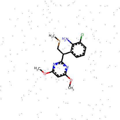 COc1cc(OC)nc(C(CSC)c2cccc(Cl)c2N)n1